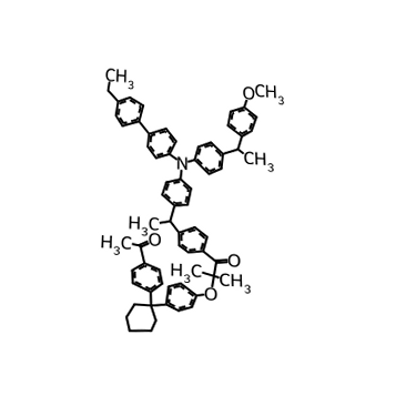 CCc1ccc(-c2ccc(N(c3ccc(C(C)c4ccc(OC)cc4)cc3)c3ccc(C(C)c4ccc(C(=O)C(C)(C)Oc5ccc(C6(c7ccc(C(C)=O)cc7)CCCCC6)cc5)cc4)cc3)cc2)cc1